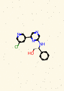 OC[C@H](Nc1cncc(-c2cncc(Cl)c2)n1)c1ccccc1